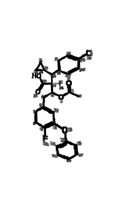 CC(=O)O[C@@H](Cc1ccc(F)c(Oc2ccccc2)c1)[C@@](F)(C(=O)O)C(c1ccc(Cl)cc1)C1CC1